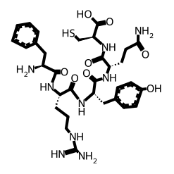 N=C(N)NCCC[C@H](NC(=O)[C@@H](N)Cc1ccccc1)C(=O)N[C@@H](Cc1ccc(O)cc1)C(=O)N[C@@H](CCC(N)=O)C(=O)N[C@@H](CS)C(=O)O